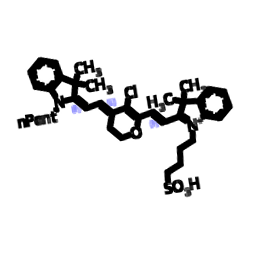 CCCCCN1/C(=C/C=C2\CCOC(/C=C/C3=[N+](CCCCS(=O)(=O)O)c4ccccc4C3(C)C)=C2Cl)C(C)(C)c2ccccc21